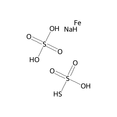 O=S(=O)(O)O.O=S(=O)(O)S.[Fe].[NaH]